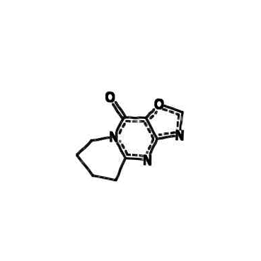 O=c1c2ocnc2nc2n1CCCC2